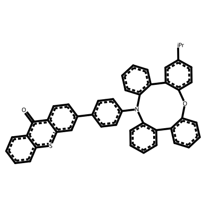 CC(C)c1ccc2c(c1)-c1ccccc1N(c1ccc(-c3ccc4c(=O)c5ccccc5sc4c3)cc1)c1ccccc1-c1ccccc1O2